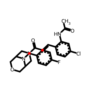 CC(=O)Nc1cc(Cl)ccc1C=CC(=O)N1CC2COCC(C1)N2Cc1ccc(F)cc1